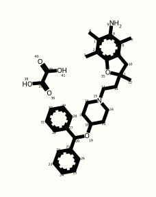 Cc1c(C)c2c(c(C)c1N)CC(C)(CCN1CCC(OC(c3ccccc3)c3ccccc3)CC1)O2.O=C(O)C(=O)O